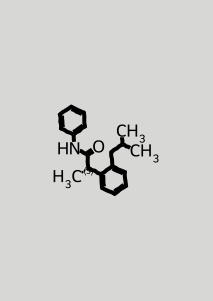 CC(C)Cc1ccccc1[C@H](C)C(=O)Nc1ccccc1